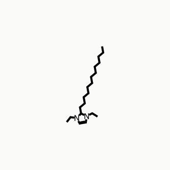 CCCCCCCCCCCCCC1N(CC)C=CN1CC